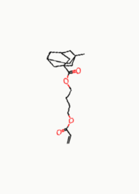 C=CC(=O)OCCCCOC(=O)C12CC3CC(CC(C)(C3)C1)C2